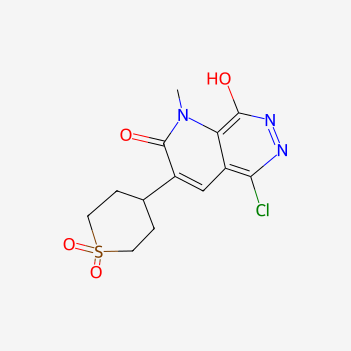 Cn1c(=O)c(C2CCS(=O)(=O)CC2)cc2c(Cl)nnc(O)c21